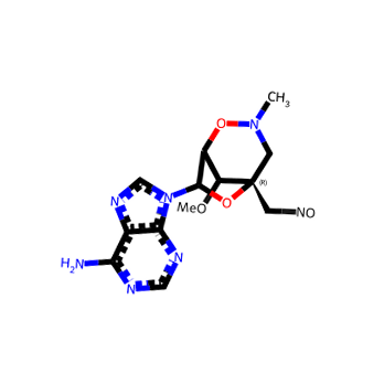 COC1C2ON(C)C[C@]1(CN=O)OC2n1cnc2c(N)ncnc21